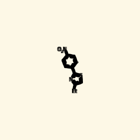 CCc1csc(-c2[c]cc([N+](=O)[O-])cc2)n1